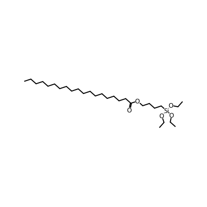 CCCCCCCCCCCCCCCCCCC(=O)OCCCC[Si](OCC)(OCC)OCC